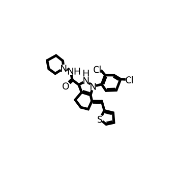 O=C(NN1CCCCC1)C1NN(c2ccc(Cl)cc2Cl)C2=C1CCC/C2=C\c1cccs1